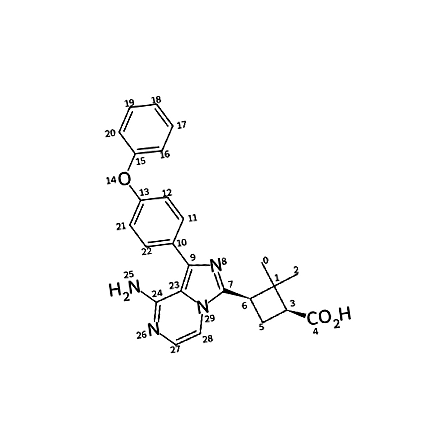 CC1(C)[C@@H](C(=O)O)C[C@H]1c1nc(-c2ccc(Oc3ccccc3)cc2)c2c(N)nccn12